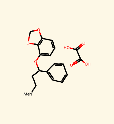 CNCCC(Oc1cccc2c1OCO2)c1ccccc1.O=C(O)C(=O)O